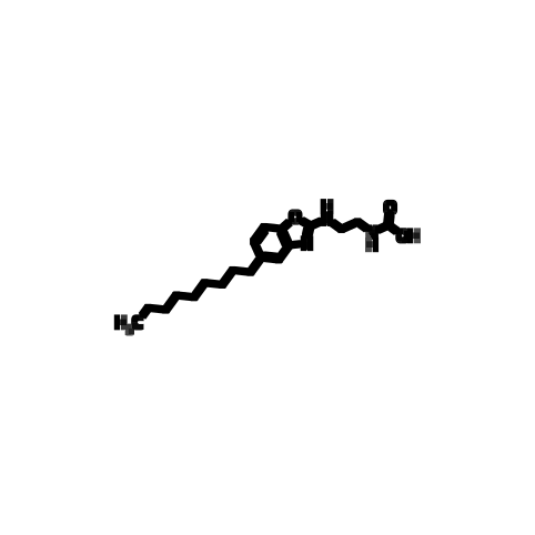 CCCCCCCCCc1ccc2oc(NCCNC(=O)O)nc2c1